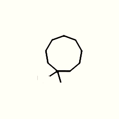 CC1(P)CCCCCCCC1